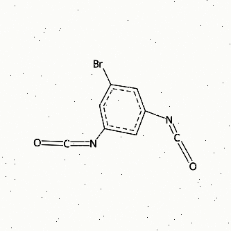 O=C=Nc1cc(Br)cc(N=C=O)c1